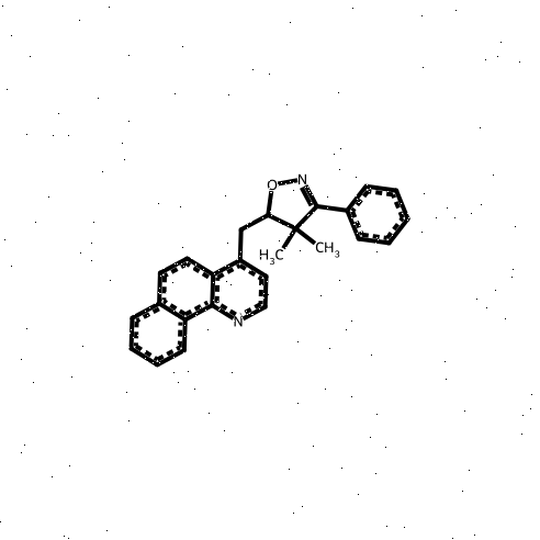 CC1(C)C(c2ccccc2)=NOC1Cc1ccnc2c1ccc1ccccc12